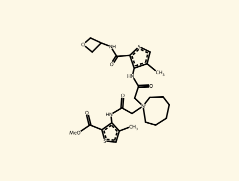 COC(=O)c1scc(C)c1NC(=O)C[N+]1(CC(=O)Nc2c(C)csc2C(=O)NC2COC2)CCCCCC1